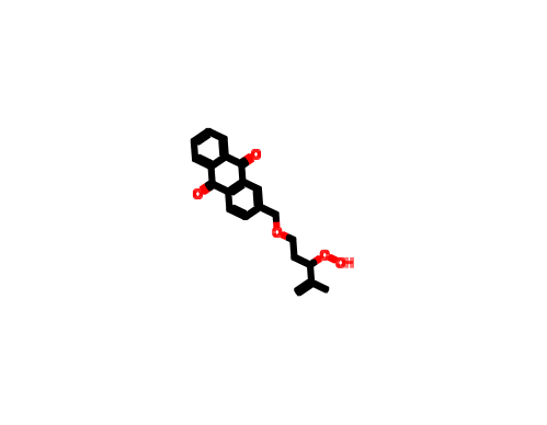 C=C(C)C(CCOCc1ccc2c(c1)C(=O)c1ccccc1C2=O)OO